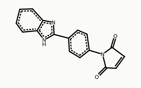 O=C1C=CC(=O)N1c1ccc(-c2nc3ccccc3[nH]2)cc1